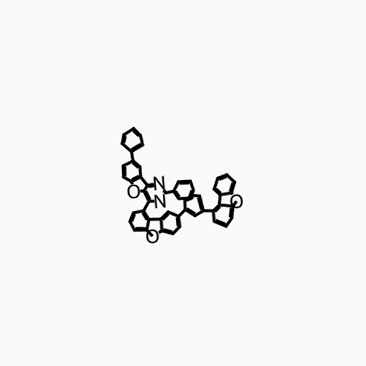 c1ccc(-c2ccc3oc4c(-c5cccc6oc7ccc(-c8cccc(-c9cccc%10oc%11ccccc%11c9%10)c8)cc7c56)nc(-c5ccccc5)nc4c3c2)cc1